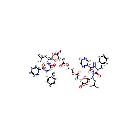 CC(C)C[C@H](NC(=O)[C@H](Cc1ccccc1)NC(=O)c1cnccn1)B1OC(=O)[C@H](CC(=O)OCCOC(=O)C[C@@H]2OB([C@H](CC(C)C)NC(=O)[C@H](Cc3ccccc3)NC(=O)c3cnccn3)OC2=O)O1